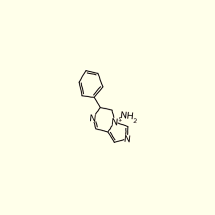 N[N+]12C=NC=C1C=NC(c1ccccc1)C2